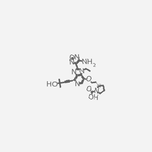 CCn1c(-c2nonc2N)nc2c(C#CC(C)(C)O)ncc(OCC[C@@H]3CCCN3C(=O)O)c21